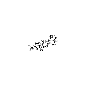 Cc1nc(N2CC[C@@H]3CCNC[C@@H]32)nnc1-c1ccc(C2CC2)cc1O